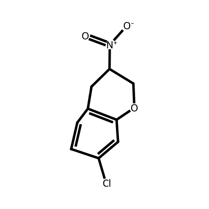 O=[N+]([O-])C1COc2cc(Cl)ccc2C1